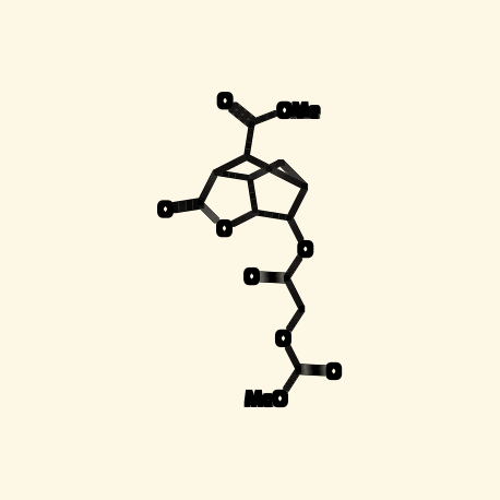 COC(=O)OCC(=O)OC1C2CC3C1OC(=O)C3C2C(=O)OC